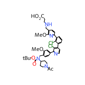 COc1cc(-c2nccc(-c3cccc(-c4ccc(CNCCC(=O)O)c(OC)n4)c3Cl)c2Cl)ccc1CN(C(=O)OC(C)(C)C)C1CCN(C(C)=O)CC1